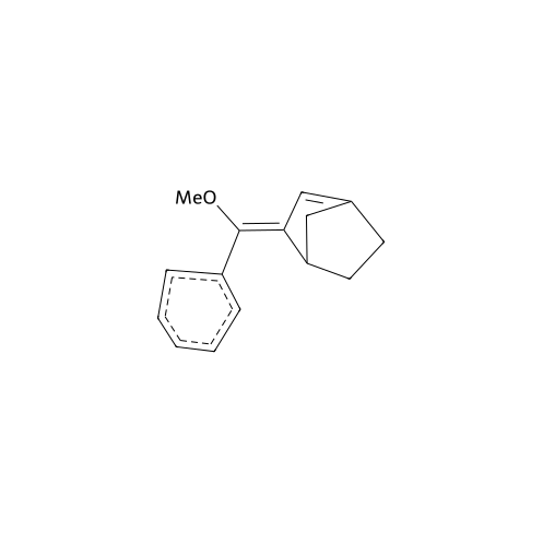 CO/C(=C1\C=C2CCC1C2)c1ccccc1